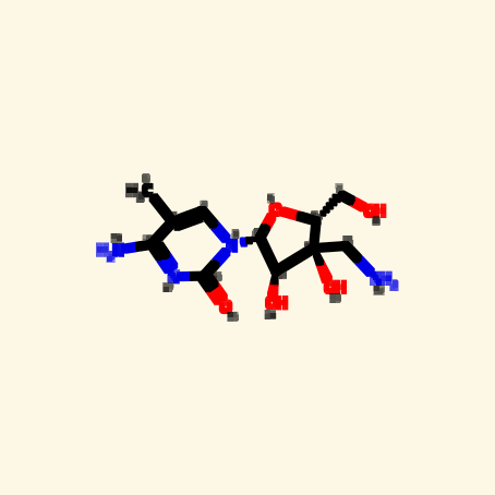 Cc1cn([C@@H]2O[C@H](CO)[C@](O)(CN)[C@H]2O)c(=O)nc1N